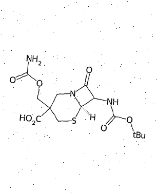 CC(C)(C)OC(=O)NC1C(=O)N2CC(COC(N)=O)(C(=O)O)CS[C@H]12